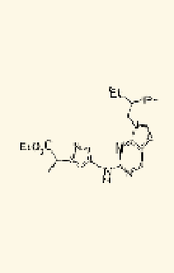 CCOC(=O)C(C)n1cc(Nc2ncc3ccn(CC(CC)C(C)C)c3n2)cn1